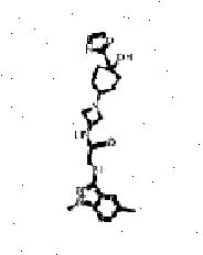 Cc1ccc2c(c1)c(NCC(=O)NC1CN(C3CCC(O)(c4ncco4)CC3)C1)nn2C